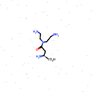 NCCN(CCN)C(=O)C[C@H](N)C(=O)O